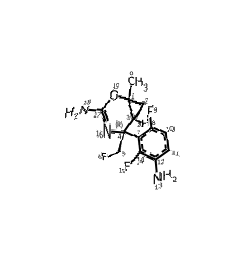 CC12C[C@@H]1[C@](CF)(c1c(F)ccc(N)c1F)N=C(N)O2